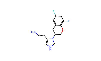 NCCC1=CNCN1C1COc2c(F)cc(F)cc2C1